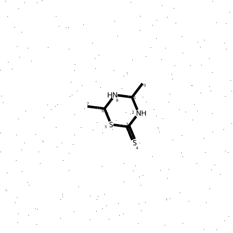 CC1NC(=S)SC(C)N1